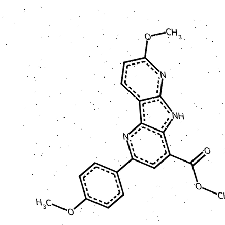 COC(=O)c1cc(-c2ccc(OC)cc2)nc2c1[nH]c1nc(OC)ccc12